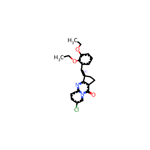 CCOc1cccc(/C=C2\CCc3c2nc2ccc(Cl)cn2c3=O)c1OCC